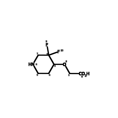 O=C(O)COC1CCNCC1(F)F